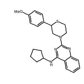 COc1ccc(C2CN(c3nc(NC4CCCC4)c4ccccc4n3)CCS2)cc1